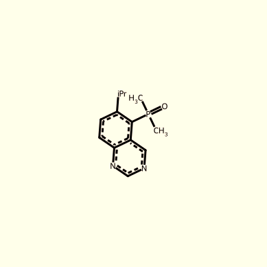 CC(C)c1ccc2ncncc2c1P(C)(C)=O